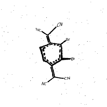 N#CC(C#N)=c1ccc(=C(C#N)C#N)c(Br)c1Br